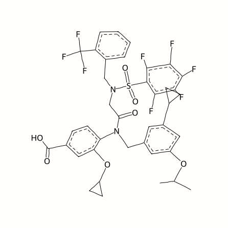 CC(C)Oc1cc(CN(C(=O)CN(Cc2ccccc2C(F)(F)F)S(=O)(=O)c2c(F)c(F)c(F)c(F)c2F)c2ccc(C(=O)O)cc2OC2CC2)cc(C2CC2)c1